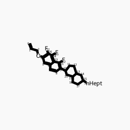 C=CCOc1cc2ccc(C3CCC4CC(CCCCCCC)CCC4C3)c(F)c2c(F)c1F